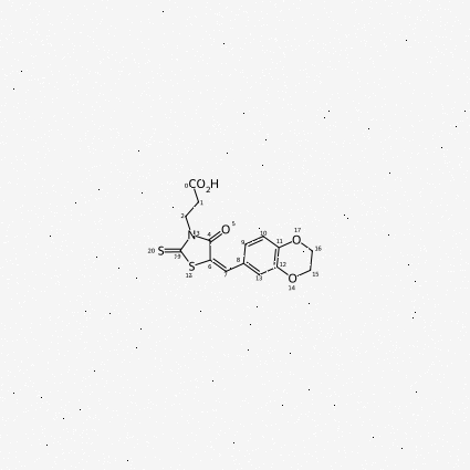 O=C(O)CCN1C(=O)/C(=C\c2ccc3c(c2)OCCO3)SC1=S